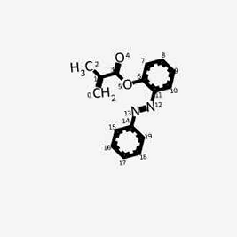 C=C(C)C(=O)Oc1ccccc1N=Nc1ccccc1